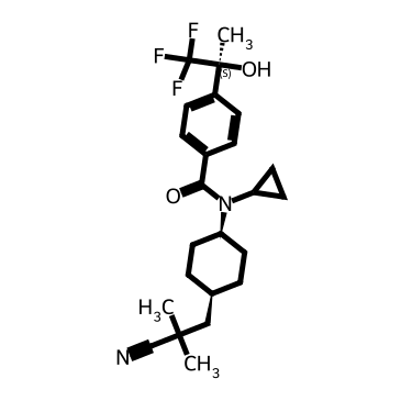 CC(C)(C#N)C[C@H]1CC[C@@H](N(C(=O)c2ccc([C@](C)(O)C(F)(F)F)cc2)C2CC2)CC1